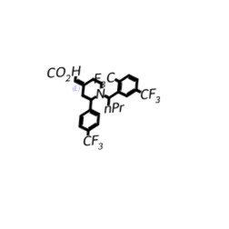 CCCC(c1cc(C(F)(F)F)ccc1C(F)(F)F)N1CC/C(=C\C(=O)O)CC1c1ccc(C(F)(F)F)cc1